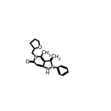 C=C1c2c(cc(=O)n(CC3CCCO3)c2C)NN1c1ccccc1